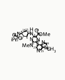 CNc1nc(NC2=CCC(=NS(=O)(=O)C(C)C)C=C2)c(C(=O)OC)nc1-c1cncc2c1ncn2C